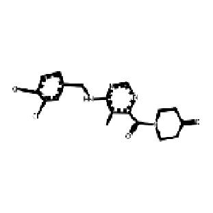 Cc1c(NCc2ccc(Cl)c(Cl)c2)ncnc1C(=O)N1CCC(=O)CC1